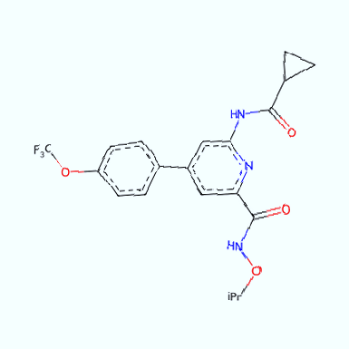 CC(C)ONC(=O)c1cc(-c2ccc(OC(F)(F)F)cc2)cc(NC(=O)C2CC2)n1